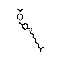 CC(C)CCCCCCCOc1ccc(CN2CCN(C(C)C)CC2)cc1